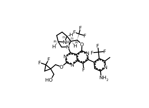 Cc1nc(N)cc(-c2nc3c4c(nc(OCC5(CO)CC5(F)F)nc4c2F)N2C[C@H]4CC[C@H](N4)[C@H]2[C@H](C(F)(F)F)O3)c1C(F)(F)F